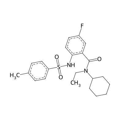 CCN(C(=O)c1cc(F)ccc1NS(=O)(=O)c1ccc(C)cc1)C1CCCCC1